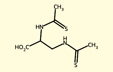 CC(=S)NCC(NC(C)=S)C(=O)O